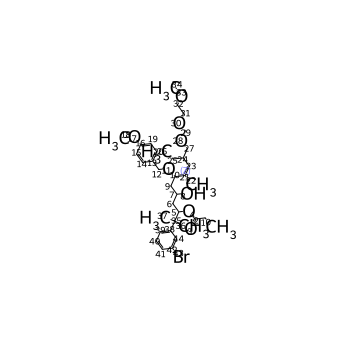 CCC(=O)OC(CC(O)CC(OCc1ccc(OC)cc1)/C(C)=C\C(CC)COCOCCOC)C(C)(C)c1cccc(Br)c1